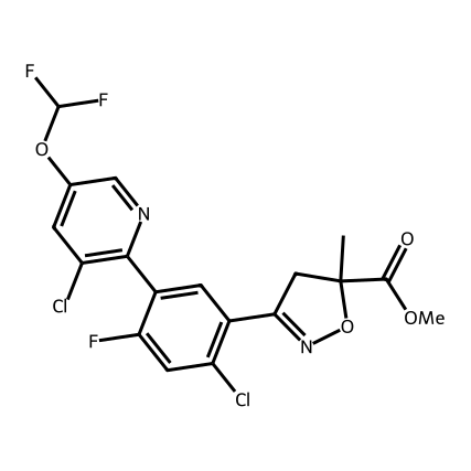 COC(=O)C1(C)CC(c2cc(-c3ncc(OC(F)F)cc3Cl)c(F)cc2Cl)=NO1